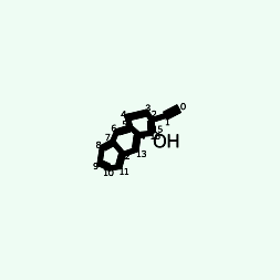 C#Cc1ccc2cc3ccccc3cc2c1O